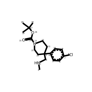 CNCC1(c2ccc(Cl)cc2)CCN(C(=O)OC(C)(C)C)CC1